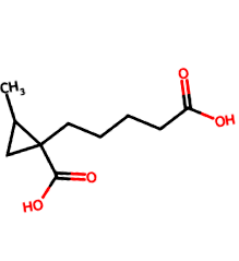 CC1CC1(CCCCC(=O)O)C(=O)O